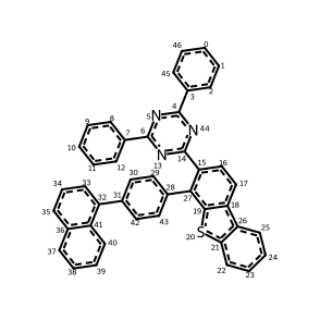 c1ccc(-c2nc(-c3ccccc3)nc(-c3ccc4c(sc5ccccc54)c3-c3ccc(-c4cccc5ccccc45)cc3)n2)cc1